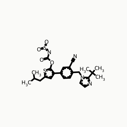 CC(C)Cc1cc(-c2ccc(Cn3ccnc3C(C)(C)C)c(C#N)c2)c(OC(=O)N=S(=O)=O)s1